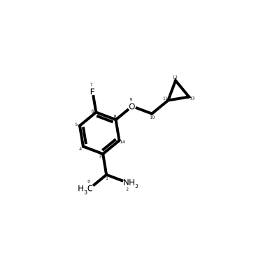 CC(N)c1ccc(F)c(OCC2CC2)c1